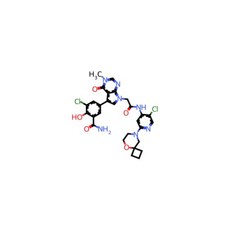 Cn1cnc2c(c(-c3cc(Cl)c(O)c(C(N)=O)c3)cn2CC(=O)Nc2cc(N3CCOC4(CCC4)C3)ncc2Cl)c1=O